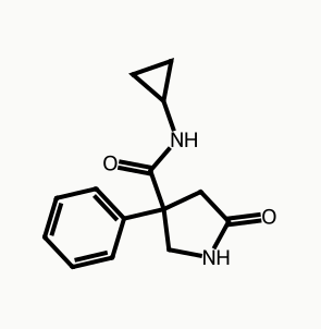 O=C1CC(C(=O)NC2CC2)(c2ccccc2)CN1